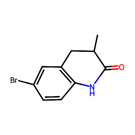 CC1Cc2cc(Br)ccc2NC1=O